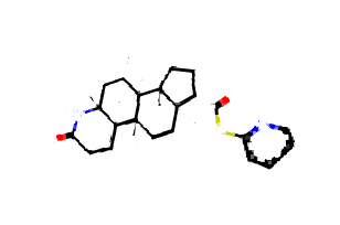 C[C@H]1C[C@H]2NC(=O)CC[C@]2(C)[C@H]2CC[C@]3(C)[C@@H](C(=O)Sc4ccccn4)CC[C@H]3[C@H]12